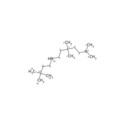 CN(C)CCC(C)(C)CCNCCC(C)(C)C